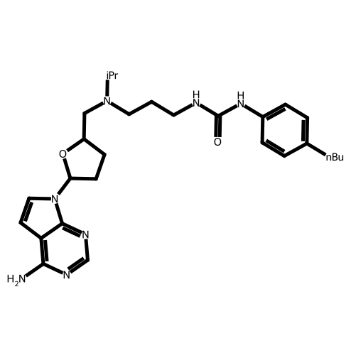 CCCCc1ccc(NC(=O)NCCCN(CC2CCC(n3ccc4c(N)ncnc43)O2)C(C)C)cc1